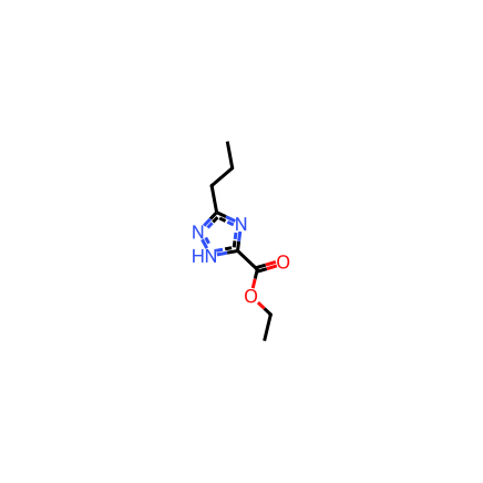 CCCc1n[nH]c(C(=O)OCC)n1